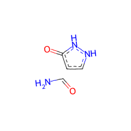 NC=O.O=c1cc[nH][nH]1